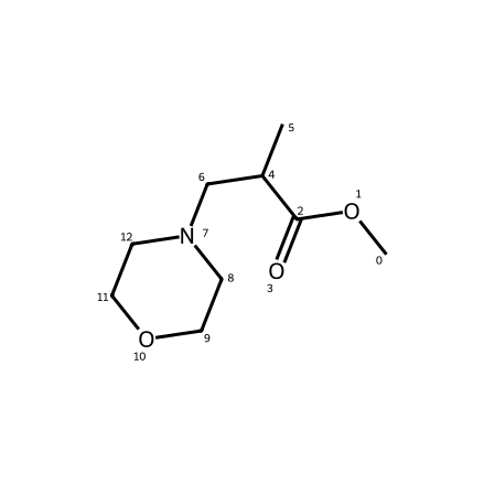 COC(=O)C(C)CN1CCOCC1